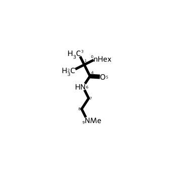 CCCCCCC(C)(C)C(=O)NCCNC